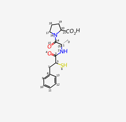 C[C@H](NC(=O)C(S)Cc1ccccc1)C(=O)N1CCCC1C(=O)O